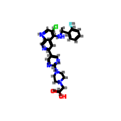 C[C@H](Nc1c(Cl)cnc2cnc(-c3cnc(N4CCN(CC(=O)O)CC4)nc3)cc12)c1ccccc1F